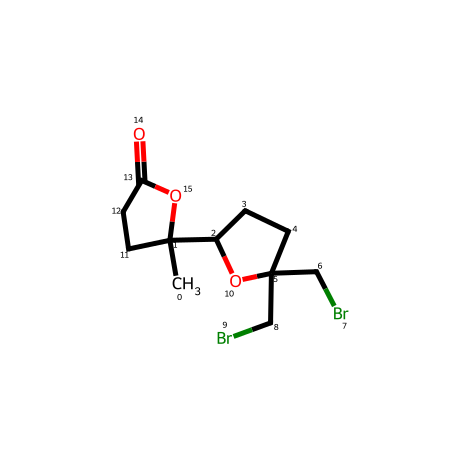 CC1(C2CCC(CBr)(CBr)O2)CCC(=O)O1